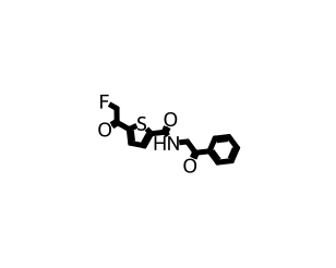 O=C(CNC(=O)c1ccc(C(=O)CF)s1)c1ccccc1